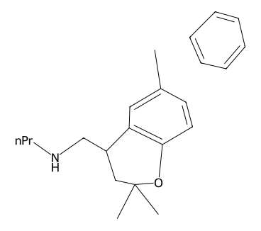 CCCNCC1CC(C)(C)Oc2ccc(C)cc21.c1ccccc1